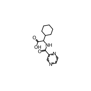 O=C(NC(C(=O)O)C1CCCCC1)c1cnccn1